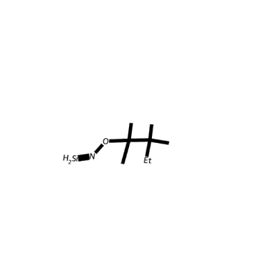 CCC(C)(C)C(C)(C)ON=[SiH2]